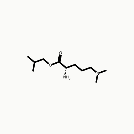 CC(C)COC(=O)[C@@H](N)CCCN(C)C